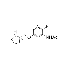 CC(=O)Nc1cc(OC[C@@H]2CCCN2)cnc1F